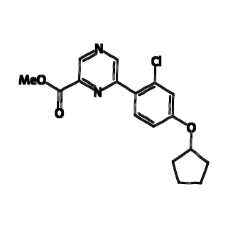 COC(=O)c1cncc(-c2ccc(OC3CCCC3)cc2Cl)n1